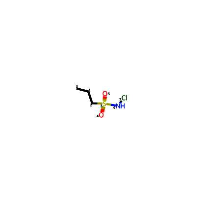 CCCS(=O)(=O)NCl